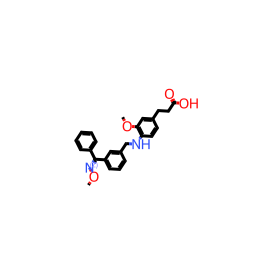 CO/N=C(/c1ccccc1)c1cccc(CNc2ccc(CCC(=O)O)cc2OC)c1